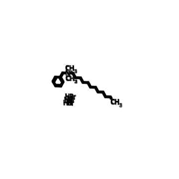 Br.Br.Br.CCCCCCCCCCCC[N+](C)(C)Cc1ccccc1